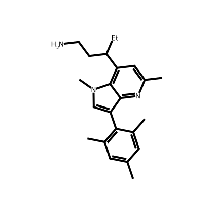 CCC(CCN)c1cc(C)nc2c(-c3c(C)cc(C)cc3C)cn(C)c12